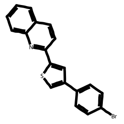 Brc1ccc(-c2csc(-c3ccc4ccccc4n3)c2)cc1